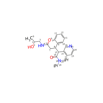 CC(O)CNC(=O)CC(c1ccccc1)C(C(=O)N(C(C)C)C(C)C)c1cccnc1